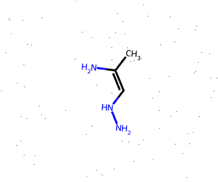 C/C(N)=C/NN